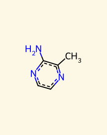 Cc1nccnc1N